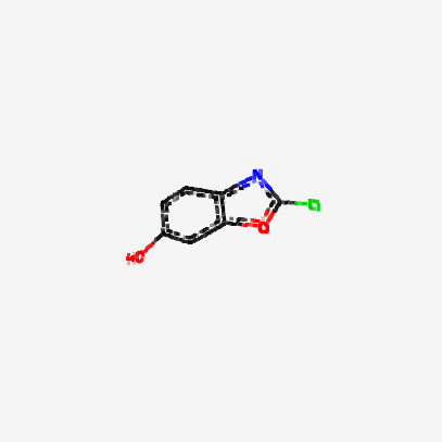 Oc1ccc2nc(Cl)oc2c1